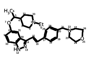 CCN1CCC(C(C)Oc2ccc3[nH]nc(/C=C/c4ccc(CN5CCOCC5)cc4)c3c2)CC1